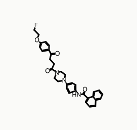 O=C(CCC(=O)N1CCN(c2ccc(NC(=O)c3cccc4ccccc34)cc2)CC1)c1ccc(OCCF)cc1